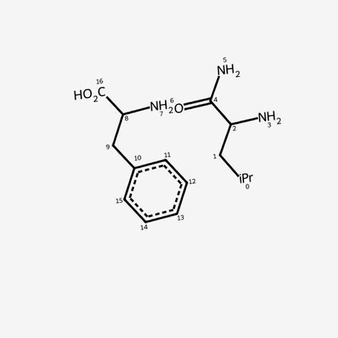 CC(C)CC(N)C(N)=O.NC(Cc1ccccc1)C(=O)O